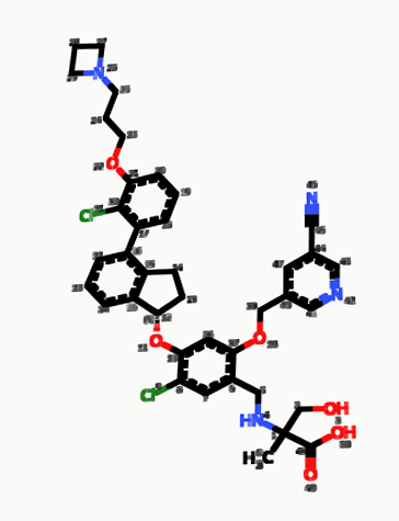 CC(CO)(NCc1cc(Cl)c(O[C@H]2CCc3c(-c4cccc(OCCCN5CCC5)c4Cl)cccc32)cc1OCc1cncc(C#N)c1)C(=O)O